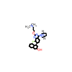 CN(C)CCCOc1nc(N2C[C@H]3CC[C@@H](C2)N3)c2ccc(-c3cc(O)cc4ccccc34)c(F)c2n1